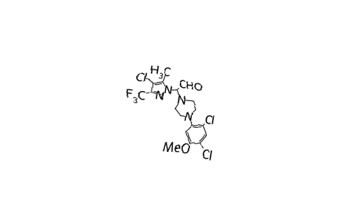 COc1cc(N2CCN(C(C=O)n3nc(C(F)(F)F)c(Cl)c3C)CC2)c(Cl)cc1Cl